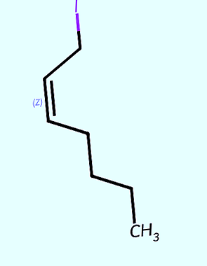 CCCC/C=C\CI